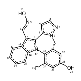 Cn1nccc1-c1c(C=NO)c2ccccc2n1-c1ccc(O)cc1F